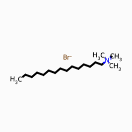 CCCCCCCCCCCCCCC[N+](C)(C)C.[Br-]